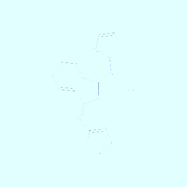 [Fe].c1ccc2c(c1)/C(=N/c1nccs1)N/C2=N/c1nccs1